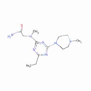 CCc1nc(N(C)CC(N)=O)nc(N2CCN(C)CC2)n1